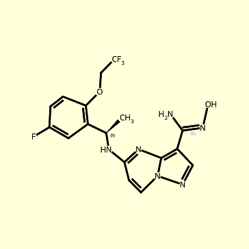 C[C@@H](Nc1ccn2ncc(/C(N)=N/O)c2n1)c1cc(F)ccc1OCC(F)(F)F